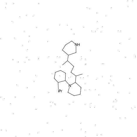 CC(C)C1CCCCC1N1CCCCC1C(C)CCC(C)C1CCCNC1